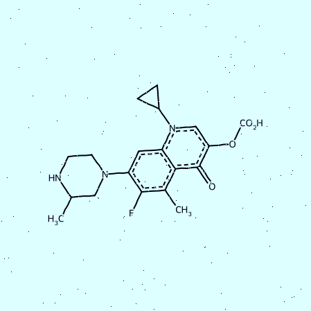 Cc1c(F)c(N2CCNC(C)C2)cc2c1c(=O)c(OC(=O)O)cn2C1CC1